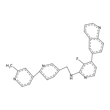 Cc1cc(-c2ccc(CNc3nccc(-c4ccc5ncccc5c4)c3F)cn2)ccn1